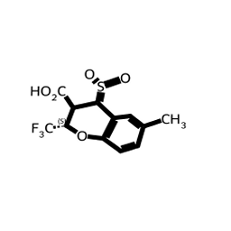 Cc1ccc2c(c1)C(=S(=O)=O)C(C(=O)O)[C@@H](C(F)(F)F)O2